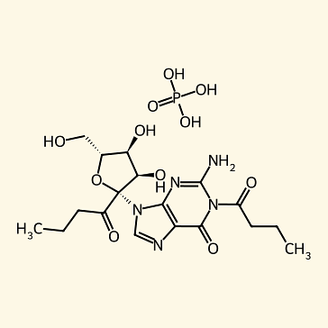 CCCC(=O)n1c(N)nc2c(ncn2[C@]2(C(=O)CCC)O[C@H](CO)[C@@H](O)[C@H]2O)c1=O.O=P(O)(O)O